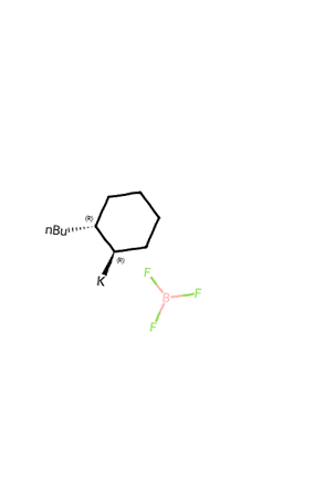 CCCC[C@@H]1CCCC[C@H]1[K].FB(F)F